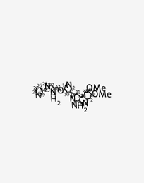 COc1cc2ncc3c(N)nc(-c4cncc(OC[C@@H](N)CN(C)Cc5cccnc5)c4)cc3c2cc1OC